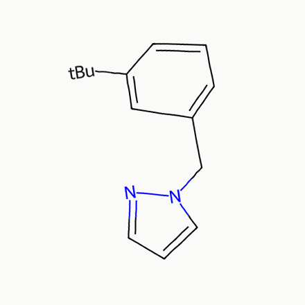 CC(C)(C)c1cccc(Cn2cccn2)c1